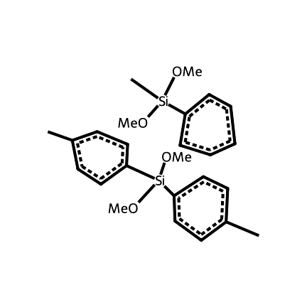 CO[Si](C)(OC)c1ccccc1.CO[Si](OC)(c1ccc(C)cc1)c1ccc(C)cc1